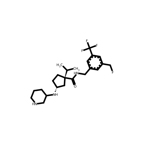 CC(C)[C@]1(C(=O)NCc2cc(CF)cc(C(F)(F)F)c2)CC[C@@H](NC2CCCNC2)C1